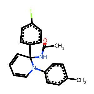 CC(=O)NC1(c2ccc(F)cc2)C=[C]C=CN1c1ccc(C)cc1